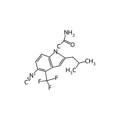 [C-]#[N+]c1ccc2c(cc(CC(C)C)n2CC(N)=O)c1C(F)(F)F